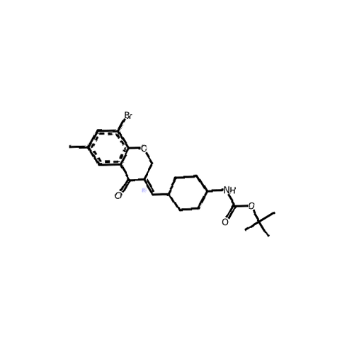 Cc1cc(Br)c2c(c1)C(=O)/C(=C/C1CCC(NC(=O)OC(C)(C)C)CC1)CO2